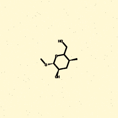 CO[C@@H]1OC(CO)[C@@H](C)C[C@H]1O